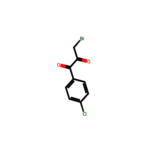 O=C(CBr)C(=O)c1ccc(Cl)cc1